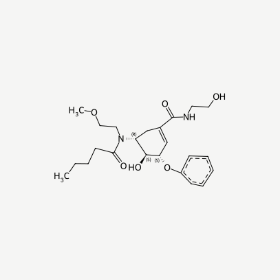 CCCCC(=O)N(CCOC)[C@@H]1CC(C(=O)NCCO)=C[C@H](Oc2ccccc2)[C@H]1O